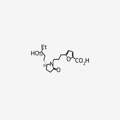 CC[C@H](O)CC[C@H]1CCC(=O)N1CCCc1ccc(C(=O)O)o1